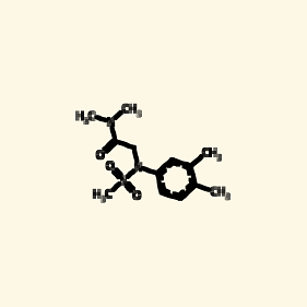 Cc1ccc(N(CC(=O)N(C)C)S(C)(=O)=O)cc1C